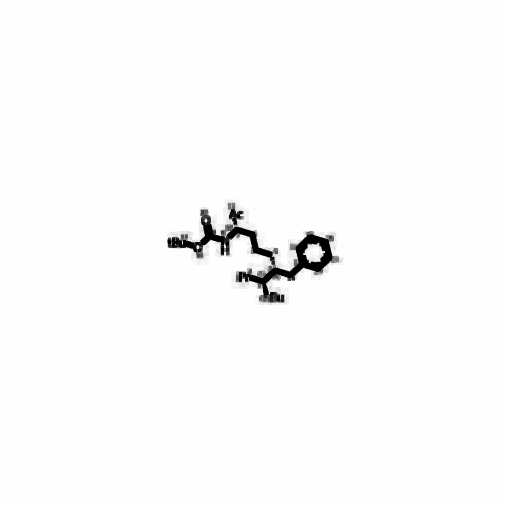 CCCC[C@@H](C(C)C)[C@H](CCC[C@H](NC(=O)OC(C)(C)C)C(C)=O)Cc1ccccc1